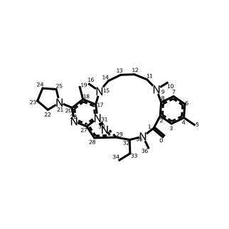 C=C1c2cc(C)ccc2N(C)CCCCN(C)c2c(C)c(N3CCCC3)nc3cc(nn23)C(CC)N1C